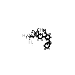 Cn1c(=O)n(CC(C)(C)C)c2ccc(-c3cc(CN4C5CCCC4CC5)ccc3C#N)nc21